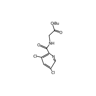 CC(C)COC(=O)CNC(=O)c1ncc(Cl)cc1Cl